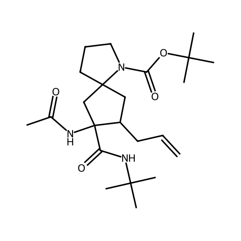 C=CCC1CC2(CCCN2C(=O)OC(C)(C)C)CC1(NC(C)=O)C(=O)NC(C)(C)C